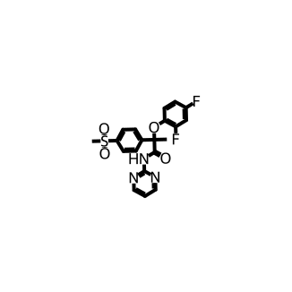 CC(Oc1ccc(F)cc1F)(C(=O)Nc1ncccn1)c1ccc(S(C)(=O)=O)cc1